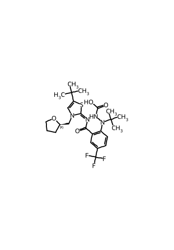 CC(C)(C)c1cn(C[C@H]2CCCO2)c(=NC(=O)c2cc(C(F)(F)F)ccc2N(NC(=O)O)C(C)(C)C)s1